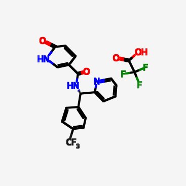 O=C(N[C@@H](c1ccc(C(F)(F)F)cc1)c1ccccn1)c1ccc(=O)[nH]c1.O=C(O)C(F)(F)F